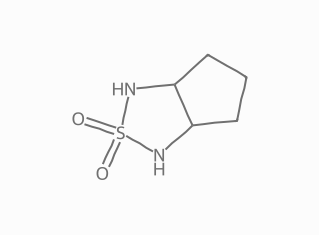 O=S1(=O)NC2CCCC2N1